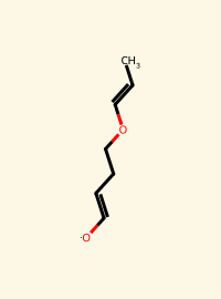 CC=COCCC=C[O]